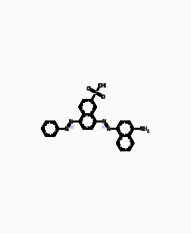 Nc1ccc(/N=N/c2ccc(/N=N/c3ccccc3)c3ccc(S(=O)(=O)O)cc23)c2ccccc12